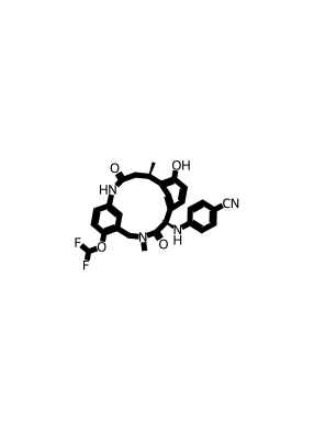 C[C@@H]1CC(=O)Nc2ccc(OC(F)F)c(c2)CN(C)C(=O)[C@H](Nc2ccc(C#N)cc2)c2ccc(O)c1c2